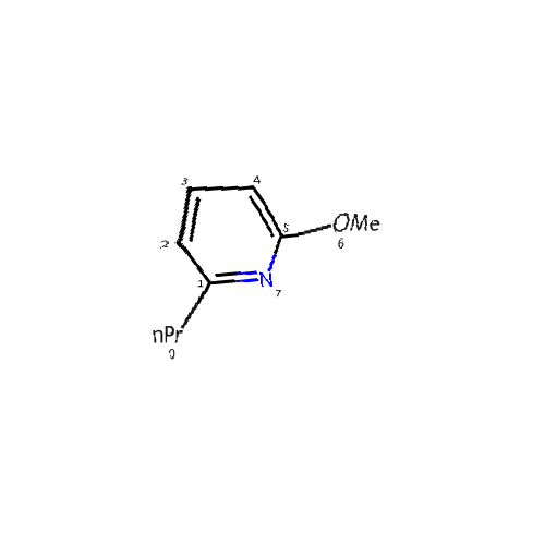 CCCc1cccc(OC)n1